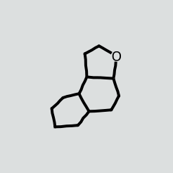 C1CCC2C(C1)CCC1OCCC12